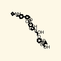 O=S(=O)(c1cccc(-c2ccc(CNC3CCC3)cc2)c1)N1CCC2(CC1)CC(NCC(O)COc1cccc(S(=O)(=O)C3(CO)CC3)c1)CO2